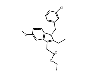 CCOC(=O)Cc1c(CC)n(Cc2cccc(Cl)c2)c2ccc(OC)cc12